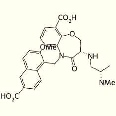 CN[C@@H](C)CN[C@H]1COc2c(C(=O)O)cccc2N(Cc2c(OC)ccc3cc(C(=O)O)ccc23)C1=O